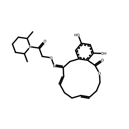 CC1CCCC(C)N1C(=O)CON=C1/C=C/CC/C=C/CCOC(=O)c2c(O)cc(O)cc2C1